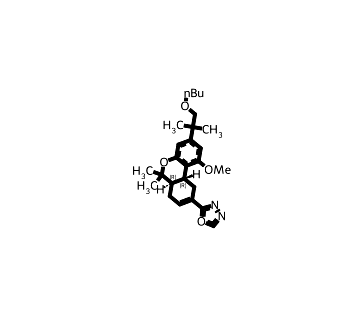 CCCCOCC(C)(C)c1cc(OC)c2c(c1)OC(C)(C)[C@@H]1CC=C(c3nnco3)C[C@@H]21